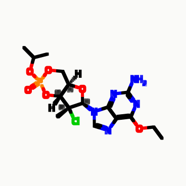 CCOc1nc(N)nc2c1ncn2[C@@H]1O[C@@H]2COP(=O)(OC(C)C)O[C@H]2[C@@]1(C)Cl